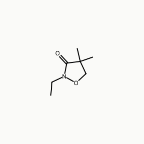 CCN1OCC(C)(C)C1=O